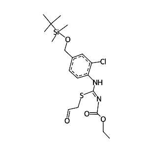 CCOC(=O)/N=C(/Nc1ccc(CO[Si](C)(C)C(C)(C)C)cc1Cl)SCC=O